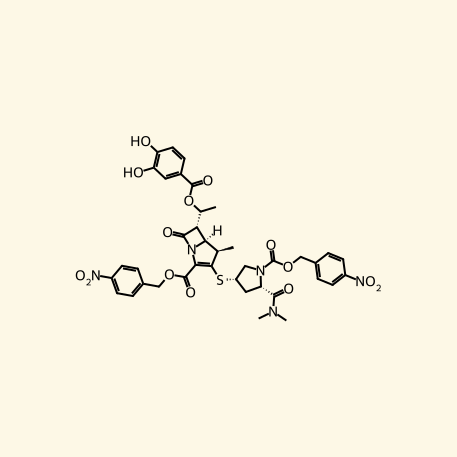 CC(OC(=O)c1ccc(O)c(O)c1)[C@H]1C(=O)N2C(C(=O)OCc3ccc([N+](=O)[O-])cc3)=C(S[C@H]3C[C@@H](C(=O)N(C)C)N(C(=O)OCc4ccc([N+](=O)[O-])cc4)C3)[C@H](C)[C@H]12